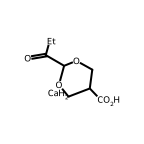 CCC(=O)C1OCC(C(=O)O)CO1.[CaH2]